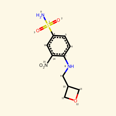 NS(=O)(=O)c1ccc(NCC2COC2)c([N+](=O)[O-])c1